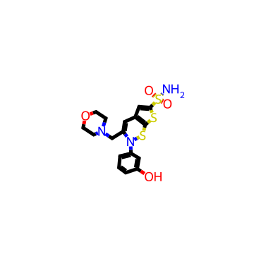 NS(=O)(=O)c1cc2c(s1)SN(c1cccc(O)c1)C(CN1CCOCC1)=C2